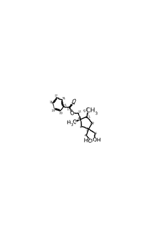 C[C@H]1CC(CO)(CO)C[C@]1(C)COC(=O)c1ccccc1